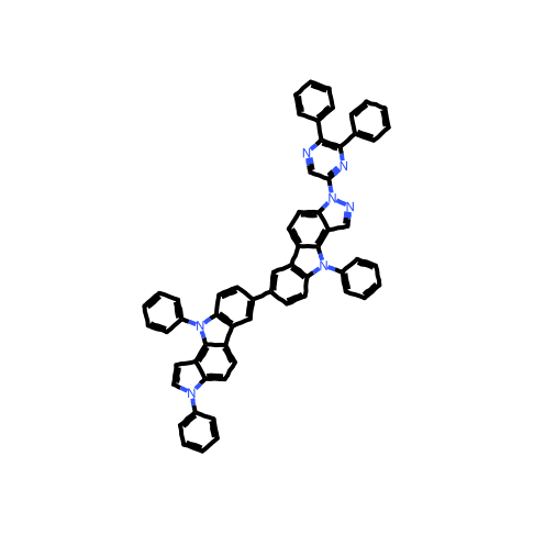 c1ccc(-c2ncc(-n3ncc4c3ccc3c5cc(-c6ccc7c(c6)c6ccc8c(ccn8-c8ccccc8)c6n7-c6ccccc6)ccc5n(-c5ccccc5)c34)nc2-c2ccccc2)cc1